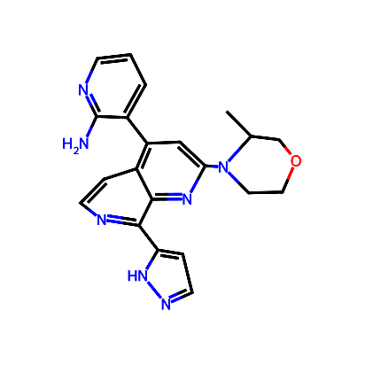 CC1COCCN1c1cc(-c2cccnc2N)c2ccnc(-c3ccn[nH]3)c2n1